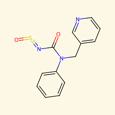 O=S=NC(=O)N(Cc1cccnc1)c1ccccc1